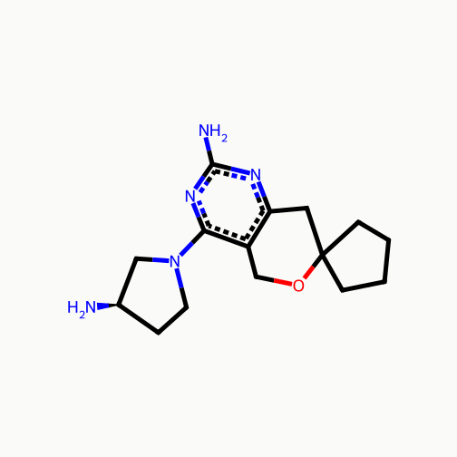 Nc1nc2c(c(N3CC[C@@H](N)C3)n1)COC1(CCCC1)C2